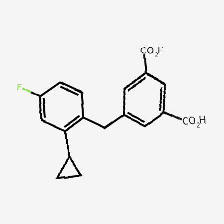 O=C(O)c1cc(Cc2ccc(F)cc2C2CC2)cc(C(=O)O)c1